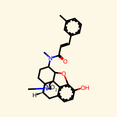 Cc1cccc(/C=C/C(=O)N(C)C2CC[C@@]3([N+](=O)[O-])[C@H]4Cc5ccc(O)c6c5[C@@]3(CCN4C)C2O6)c1